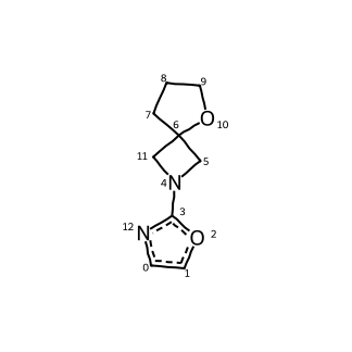 c1coc(N2CC3(CCCO3)C2)n1